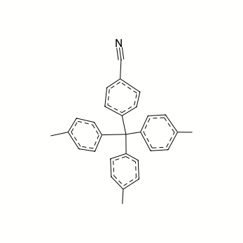 Cc1ccc(C(c2ccc(C)cc2)(c2ccc(C)cc2)c2ccc(C#N)cc2)cc1